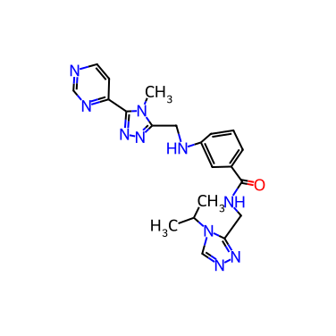 CC(C)n1cnnc1CNC(=O)c1cccc(NCc2nnc(-c3ccncn3)n2C)c1